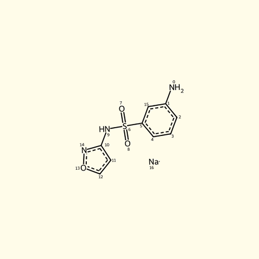 Nc1cccc(S(=O)(=O)Nc2ccon2)c1.[Na]